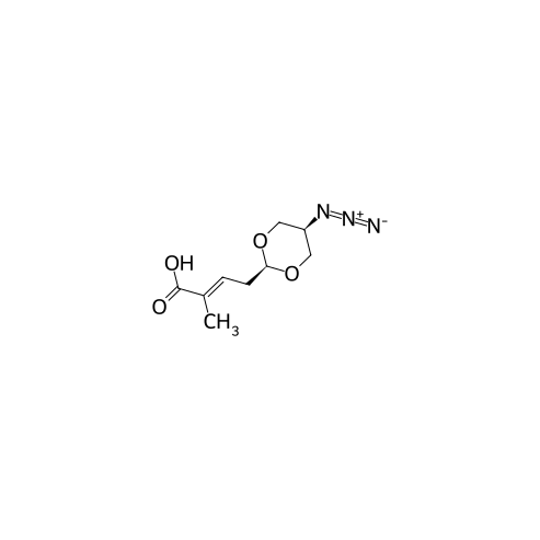 C/C(=C\C[C@H]1OC[C@@H](N=[N+]=[N-])CO1)C(=O)O